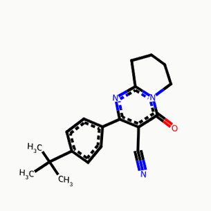 CC(C)(C)c1ccc(-c2nc3n(c(=O)c2C#N)CCCC3)cc1